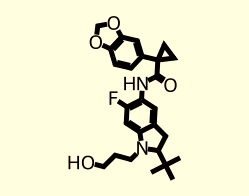 CC(C)(C)C1Cc2cc(NC(=O)C3(c4ccc5c(c4)OCO5)CC3)c(F)cc2N1CCCO